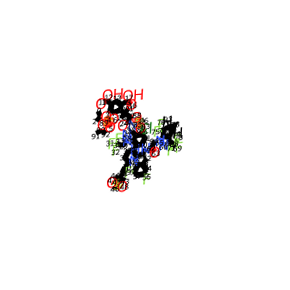 CC(C)OP(=O)(Oc1cc(C(=O)O)cc(C(=O)O)c1C(C)(C)CC(=O)N(c1nn(CC(F)(F)F)c2c(-c3ccc(C#CC(C)(C)S(C)(=O)=O)nc3[C@H](Cc3cc(F)cc(F)c3)NC(=O)Cn3nc(C(F)(F)F)c4c3C(F)(F)[C@@H]3C[C@H]43)ccc(Cl)c12)S(C)(=O)=O)OC(C)C